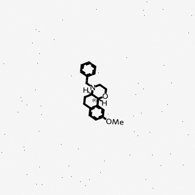 COc1ccc2c(c1)[C@H]1OCCN(Cc3ccccc3)[C@@H]1CC2